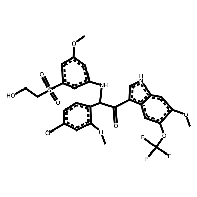 COc1cc(NC(C(=O)c2c[nH]c3cc(OC)c(OC(F)(F)F)cc23)c2ccc(Cl)cc2OC)cc(S(=O)(=O)CCO)c1